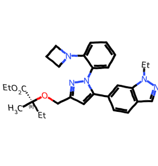 CCOC(=O)[C@@](C)(CC)OCc1cc(-c2ccc3cnn(CC)c3c2)n(-c2ccccc2N2CCC2)n1